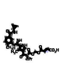 CCCN(C(=O)OCOC(=O)/C=C/C(=O)O)C(=O)c1c[nH]c(C(=N)Nc2cc(C(=O)NC3CC3)ccc2C)c1C